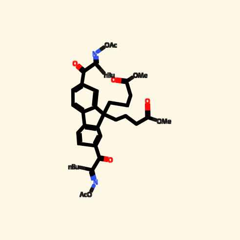 CCCC/C(=N\OC(C)=O)C(=O)c1ccc2c(c1)C(CCCC(=O)OC)(CCCC(=O)OC)c1cc(C(=O)/C(CCCC)=N/OC(C)=O)ccc1-2